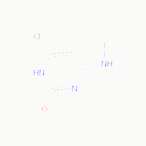 O=c1nc2c(c(Cl)[nH]1)CCN2